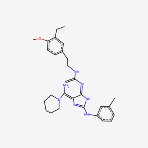 C=C(/N=C1/NC(Nc2cccc(C)c2)=N/C1=C(/N)N1CCCCC1)NCCc1ccc(OC)c(CC)c1